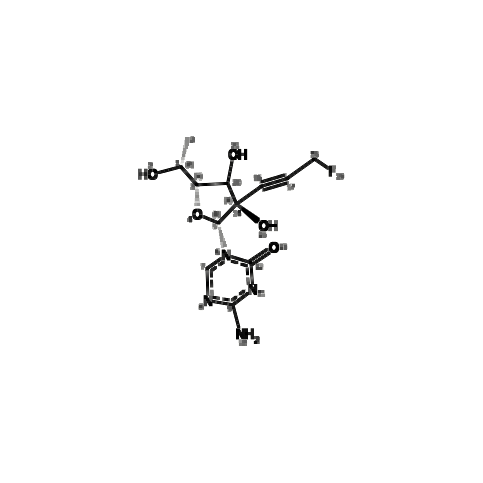 C[C@@H](O)[C@H]1O[C@@H](n2cnc(N)nc2=O)[C@@](O)(C#CCF)C1O